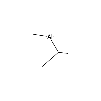 [CH3][Al][CH](C)C